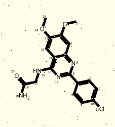 COc1cc2nc(-c3ccc(Cl)cc3)nc(NCC(N)=O)c2cc1OC